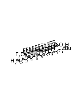 CC(C)(C)CCCCCCCCCCCCCCCCCN.O=S(=O)(O)C(F)(F)C(F)(F)C(F)(F)C(F)(F)C(F)(F)C(F)(F)C(F)(F)C(F)(F)C(F)(F)C(F)(F)C(F)(F)C(F)(F)F